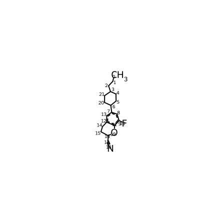 CCCC1CCC(c2cc(F)c3c(c2)CCC(C#N)O3)CC1